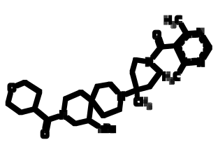 CCCCC1CN(C(=O)C2CCOCC2)CCC12CCN(C1(C)CCN(C(=O)c3c(C)ncnc3C)CC1)CC2